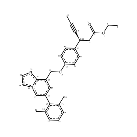 CC#C[C@@H](CC(=O)OCC)c1ccc(OCc2cc(-c3c(C)cccc3C)cn3ncnc23)cc1